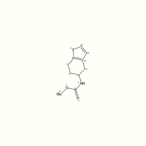 CC(C)(C)OC(=O)NC1CCc2sccc2C1